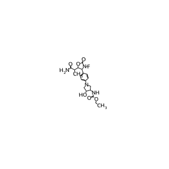 CCOC(=O)NC1CN(c2ccc(C3C(C(C)C(N)=O)OC(=O)N3F)cc2)CC1O